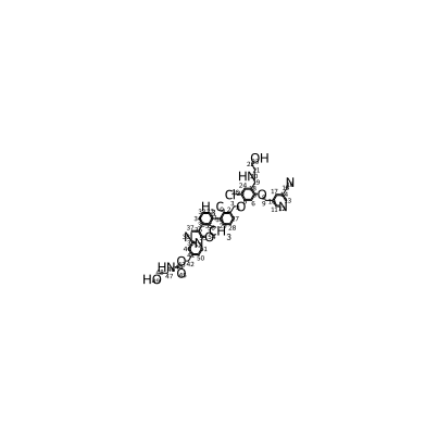 Cc1c(COc2cc(OCc3cncc(C#N)c3)c(CNCCO)cc2Cl)cccc1-c1cccc(-c2cnc3cc(COC(=O)NCCO)ccn3c2=O)c1C